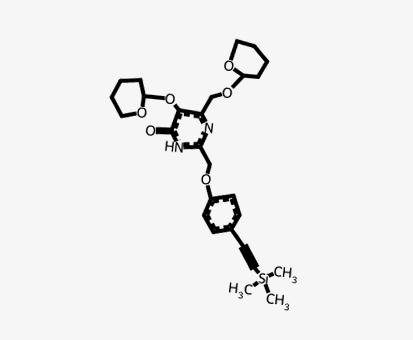 C[Si](C)(C)C#Cc1ccc(OCc2nc(COC3CCCCO3)c(OC3CCCCO3)c(=O)[nH]2)cc1